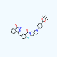 CC1(C)OB(c2ccc(N3CCC4(CCN(C(=O)c5cc(Cc6n[nH]c(=O)c7ccccc67)ccc5F)C4)C3)cc2)OC1(C)C